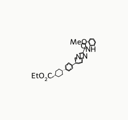 CCOC(=O)C[C@H]1CC[C@H](c2ccc(-c3ccc4nc(C(=O)Nc5ccccc5OC)cn4c3)cc2)CC1